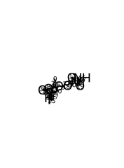 CCCc1c(OCCOCCN2C(=O)NC(C)(C)C2=O)ccc2c(C(F)(F)F)cc(=O)oc12